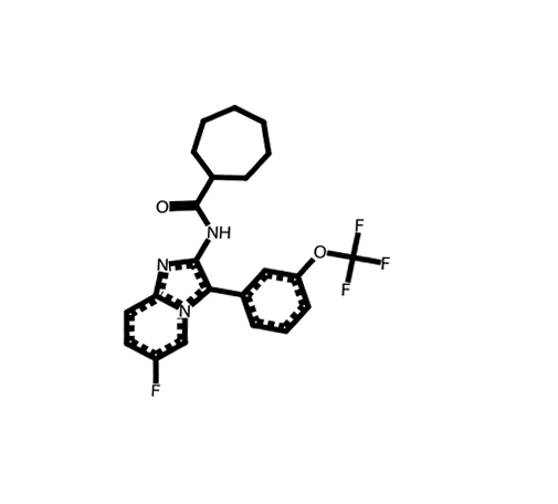 O=C(Nc1nc2ccc(F)cn2c1-c1cccc(OC(F)(F)F)c1)C1CCCCCC1